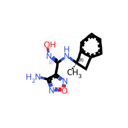 C[C@@]1(N/C(=N\O)c2nonc2N)Cc2ccccc21